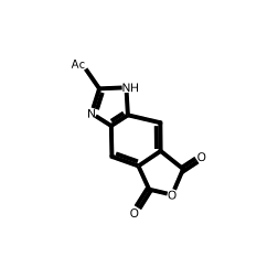 CC(=O)c1nc2cc3c(cc2[nH]1)C(=O)OC3=O